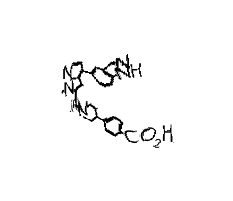 C[C@H](c1cc2c(-c3ccc4[nH]ncc4c3)ccnc2n1C)N1CCC(c2ccc(C(=O)O)cc2)CC1